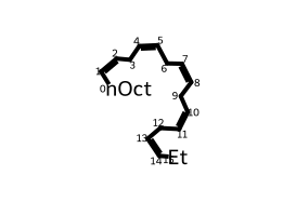 [CH2]CCCCCCC/C=C\C/C=C\C/C=C\C/C=C\C/C=C\CC